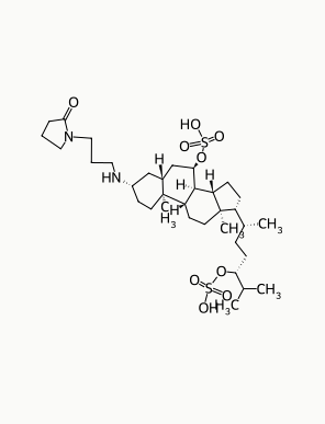 CC(C)[C@@H](CC[C@@H](C)[C@H]1CC[C@H]2[C@@H]3[C@H](OS(=O)(=O)O)C[C@H]4C[C@@H](NCCCN5CCCC5=O)CC[C@]4(C)[C@H]3CC[C@]12C)OS(=O)(=O)O